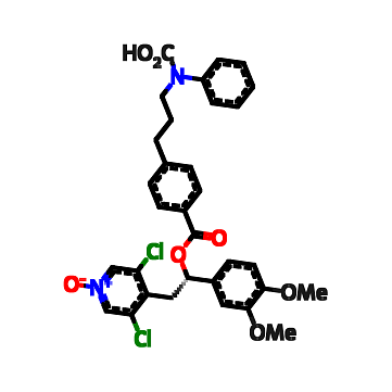 COc1ccc([C@H](Cc2c(Cl)c[n+]([O-])cc2Cl)OC(=O)c2ccc(CCCN(C(=O)O)c3ccccc3)cc2)cc1OC